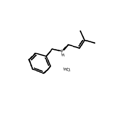 CC(C)=CCPCc1ccccc1.Cl